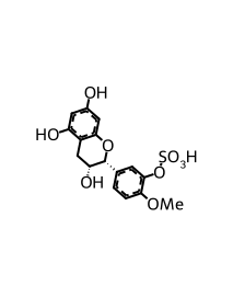 COc1ccc([C@H]2Oc3cc(O)cc(O)c3C[C@H]2O)cc1OS(=O)(=O)O